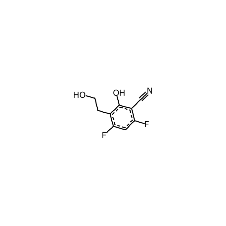 N#Cc1c(F)cc(F)c(CCO)c1O